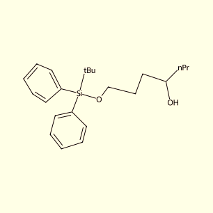 CCCC(O)CCCO[Si](c1ccccc1)(c1ccccc1)C(C)(C)C